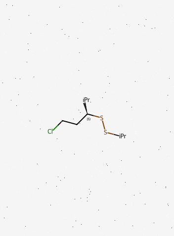 CC(C)SS[C@@H](CCCl)C(C)C